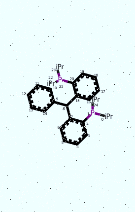 CC(C)P(c1ccccc1C(c1ccccc1)c1ccccc1P(C(C)C)C(C)C)C(C)C